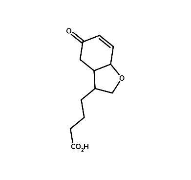 O=C(O)CCCC1COC2C=CC(=O)CC12